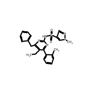 CCc1c(Cc2ccccc2)nc(NS(=O)(=O)c2cnn(C)c2)nc1-c1ccccc1C